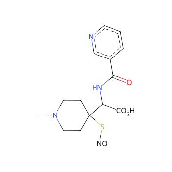 CN1CCC(SN=O)(C(NC(=O)c2cccnc2)C(=O)O)CC1